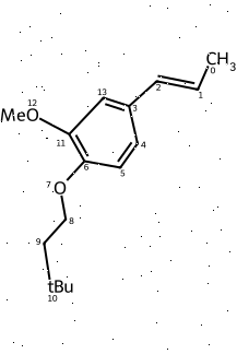 C/C=C/c1ccc(OCCC(C)(C)C)c(OC)c1